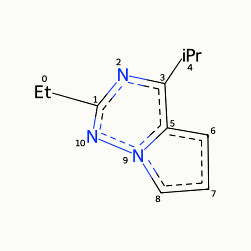 CCc1nc(C(C)C)c2cccn2n1